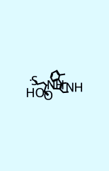 CSCCC(NCC1=C(c2ccccc2C)CNCC1)C(=O)O